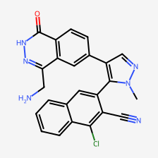 Cn1ncc(-c2ccc3c(=O)[nH]nc(CN)c3c2)c1-c1cc2ccccc2c(Cl)c1C#N